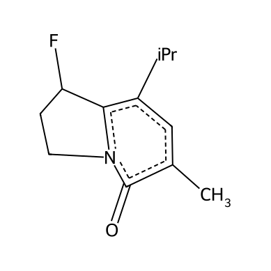 Cc1cc(C(C)C)c2n(c1=O)CCC2F